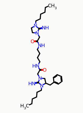 CCCCCCN1CCN(CC(=O)NCCCCNC(=O)CN2CC(Cc3ccccc3)N(CCCCCC)C2=N)C1=N